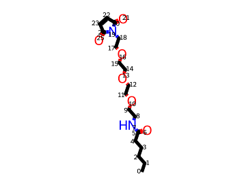 CCCCCC(=O)NCCOCCOCCOCCN1C(=O)C=CC1=O